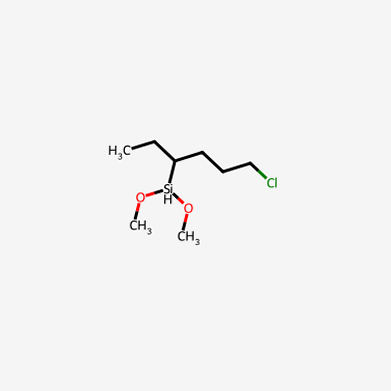 CCC(CCCCl)[SiH](OC)OC